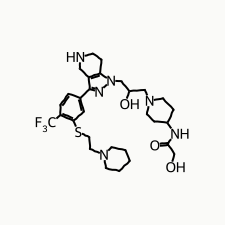 O=C(CO)NC1CCN(CC(O)Cn2nc(-c3ccc(C(F)(F)F)c(SCCN4CCCCC4)c3)c3c2CCNC3)CC1